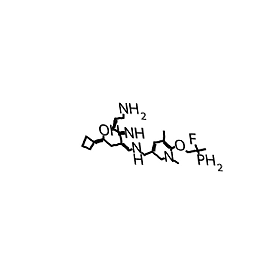 CC1=C(OCC(C)(F)P)N(C)CC(CN/C=C(/CC(O)=C2CCC2)C(=N)/C=C\CN)=C1